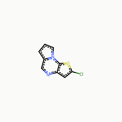 Clc1cc2ncc3cccn3c2s1